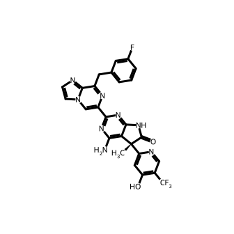 C[C@]1(c2cc(O)c(C(F)(F)F)cn2)C(=O)Nc2nc(-c3cn4ccnc4c(Cc4cccc(F)c4)n3)nc(N)c21